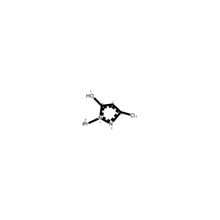 CC(C)n1nc(Cl)cc1O